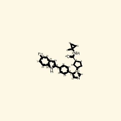 CC1(NC(=O)[C@H]2CCC(n3cncc3-c3ccc(-c4cc5cc(F)ccc5[nH]4)cc3)C2)CC1